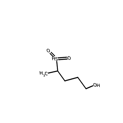 CC(CCCO)[SH](=O)=O